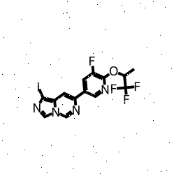 CC(Oc1ncc(-c2cc3c(I)ncn3cn2)cc1F)C(F)(F)F